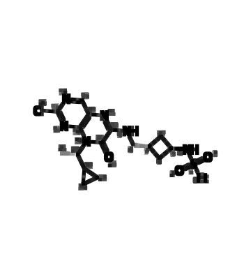 CCS(=O)(=O)N[C@H]1C[C@H](CNc2nc3cnc(Cl)nc3n([C@@H](C)C3CC3)c2=O)C1